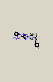 COCC(/C=C/c1ccc(F)cc1)N1CCN(c2ncc(C(=O)Nc3ccccc3N)cn2)CC1